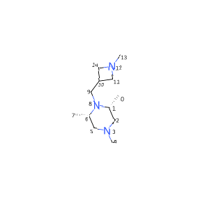 C[C@@H]1CN(C)C[C@H](C)N1CC1CN(C)C1